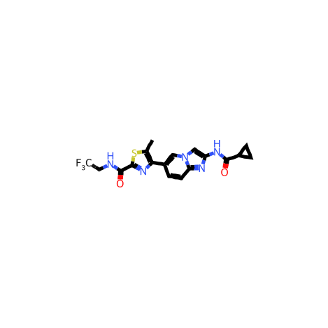 Cc1sc(C(=O)NCC(F)(F)F)nc1-c1ccc2nc(NC(=O)C3CC3)cn2c1